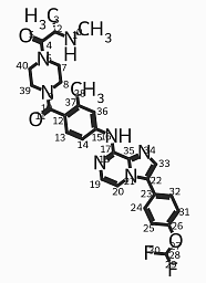 CN[C@@H](C)C(=O)N1CCN(C(=O)c2ccc(Nc3nccn4c(-c5ccc(OC(F)F)cc5)cnc34)cc2C)CC1